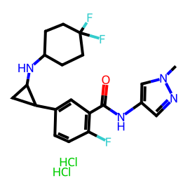 Cl.Cl.Cn1cc(NC(=O)c2cc(C3CC3NC3CCC(F)(F)CC3)ccc2F)cn1